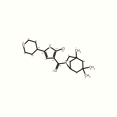 CC1(C)CC2CC(C)(CN2C(=O)c2cc(C3CCOCC3)sc2Cl)C1